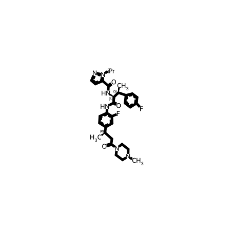 CC(C)n1nccc1C(=O)N[C@H](C(=O)Nc1ccc([C@H](C)CC(=O)N2CCN(C)CC2)cc1F)[C@@H](C)c1ccc(F)cc1